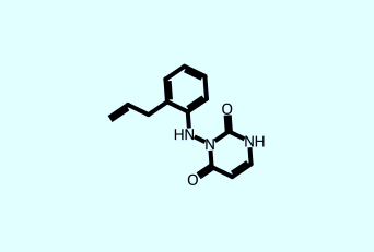 C=CCc1ccccc1Nn1c(=O)cc[nH]c1=O